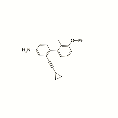 CCOc1cccc(-c2ccc(N)cc2C#CC2CC2)c1C